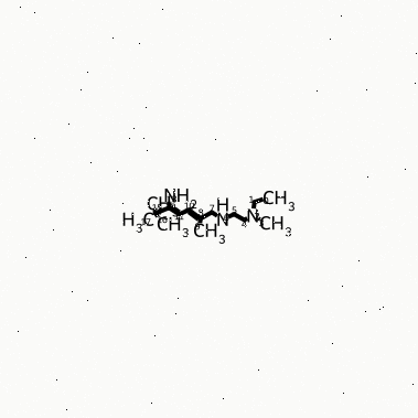 CCN(C)CCNC/C(C)=C/C=C(\N)C(C)(C)C